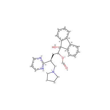 O=COC(C[C@@H](CN1CCCC1)c1ncccn1)C1(O)c2ccccc2-c2ccccc21